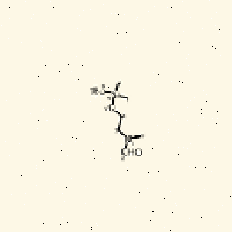 CN(C=O)CCO[Si](C)(C)C(C)(C)C